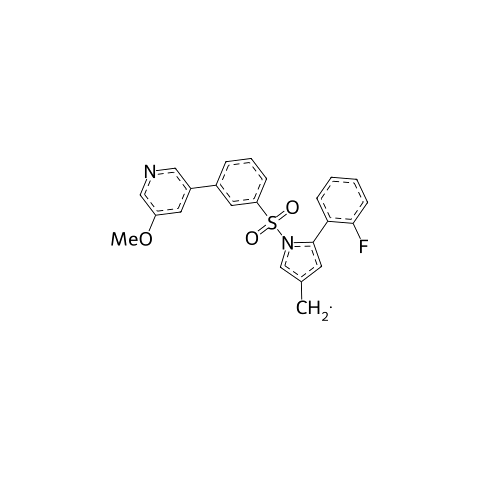 [CH2]c1cc(-c2ccccc2F)n(S(=O)(=O)c2cccc(-c3cncc(OC)c3)c2)c1